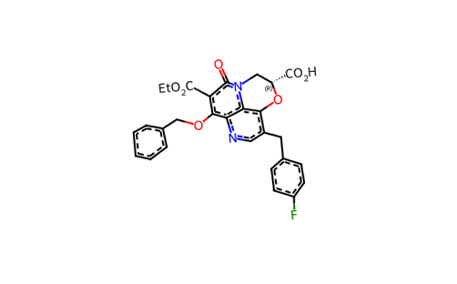 CCOC(=O)c1c(OCc2ccccc2)c2ncc(Cc3ccc(F)cc3)c3c2n(c1=O)C[C@H](C(=O)O)O3